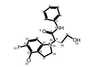 O=C(Nc1ccccc1)[C@H](CCO)N1CCc2c1ccc(F)c2Cl